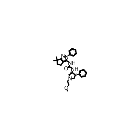 COCCN1C[C@H](NC(=O)Nc2c3c(nn2-c2ccccc2)C(C)(C)CC3)[C@@H](c2ccccc2)C1